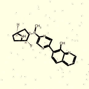 CN(c1cnc(-c2ccc3cccnc3c2O)cn1)[C@H]1C[C@@H]2CCC(N2)[C@H]1F